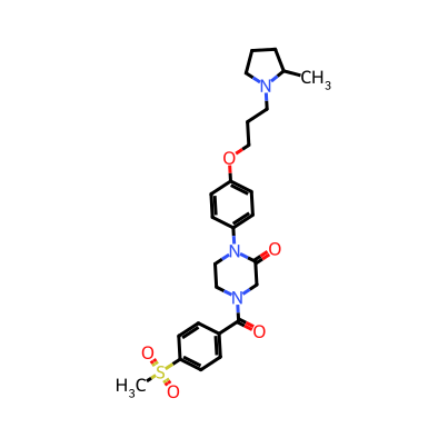 CC1CCCN1CCCOc1ccc(N2CCN(C(=O)c3ccc(S(C)(=O)=O)cc3)CC2=O)cc1